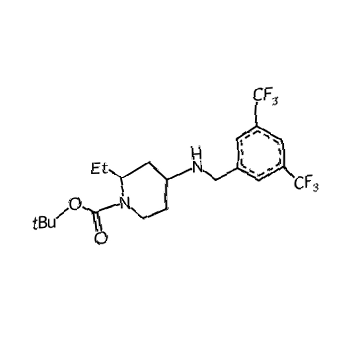 CCC1CC(NCc2cc(C(F)(F)F)cc(C(F)(F)F)c2)CCN1C(=O)OC(C)(C)C